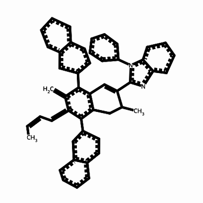 C=c1c(-c2ccc3ccccc3c2)c2c(c(-c3ccc4ccccc4c3)/c1=C/C=C\C)CC(C)C(c1nc3ccccc3n1-c1ccccc1)=C2